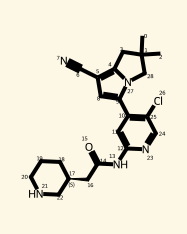 CC1(C)Cc2c(C#N)cc(-c3cc(NC(=O)C[C@@H]4CCCNC4)ncc3Cl)n2C1